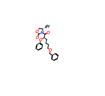 CC(C)[C@H]1COC(=O)N1C(=O)[C@@H](CCCCOCc1ccccc1)Oc1ccccc1